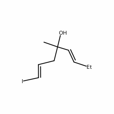 CC/C=C/C(C)(O)C/C=C/I